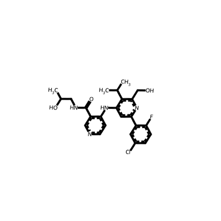 CC(O)CNC(=O)c1cnccc1Nc1cc(-c2cc(Cl)ccc2F)nc(CO)c1C(C)C